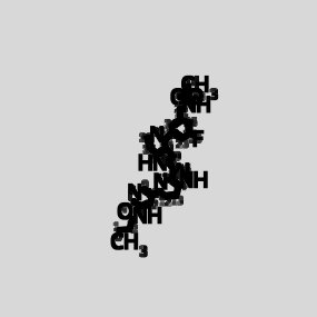 CCCC(=O)Nc1cncc(-c2ccc3[nH]nc(-c4cc5c(-c6cc(F)cc(CNS(C)(=O)=O)c6)nccc5[nH]4)c3n2)c1